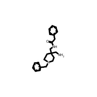 NCC1(CNC(=O)Cc2ccccc2)CCN(Cc2ccccc2)CC1